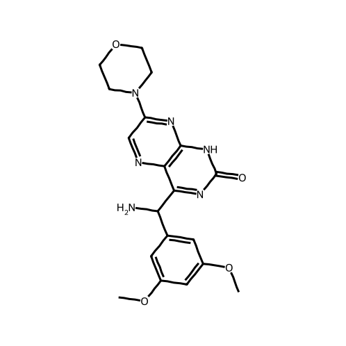 COc1cc(OC)cc(C(N)c2nc(=O)[nH]c3nc(N4CCOCC4)cnc23)c1